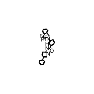 O=C(Nc1ccc(-c2ccccc2)cn1)c1cccc(NCc2ccccc2C(F)(F)F)c1